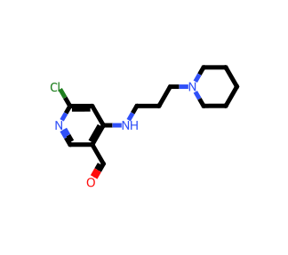 O=Cc1cnc(Cl)cc1NCCCN1CCCCC1